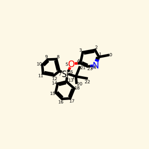 Cc1ccc(O[Si](c2ccccc2)(c2ccccc2)C(C)(C)C)cn1